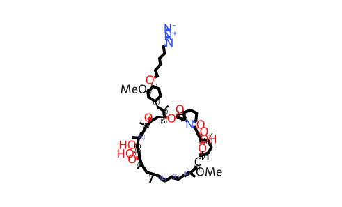 CO[C@H]1C[C@@H]2CC[C@@H](C)[C@@](O)(O2)C(=O)C(=O)N2CCCC[C@H]2C(=O)O[C@H]([C@H](C)C[C@@H]2CC[C@@H](OCCCCCCN=[N+]=[N-])[C@H](OC)C2)CC(=O)[C@H](C)/C=C(\C)[C@@H](O)[C@@H](O)C(=O)[C@H](C)C[C@H](C)/C=C/C=C/C=C/1C